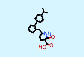 CC(C)c1ccc(-c2ccccc2Cc2ccc(C(=O)O)c(=O)[nH]2)cc1